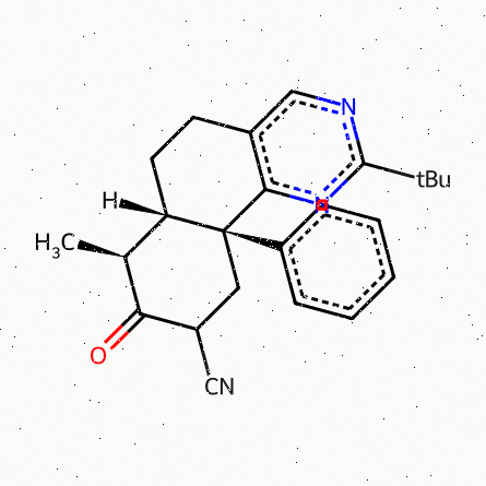 C[C@@H]1C(=O)C(C#N)C[C@@]2(c3ccccc3)c3nc(C(C)(C)C)ncc3CC[C@@H]12